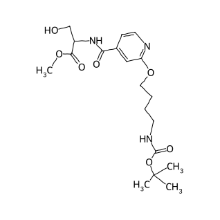 COC(=O)C(CO)NC(=O)c1ccnc(OCCCCNC(=O)OC(C)(C)C)c1